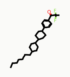 CCCCCCCC1CCC(C2CCC(c3ccc(C(=O)C(C)(F)F)cc3)CC2)CC1